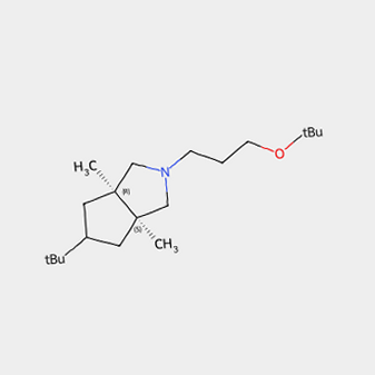 CC(C)(C)OCCCN1C[C@]2(C)CC(C(C)(C)C)C[C@]2(C)C1